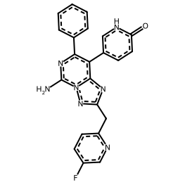 Nc1nc(-c2ccccc2)c(-c2ccc(=O)[nH]c2)c2nc(Cc3ccc(F)cn3)nn12